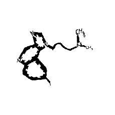 CN(C)CCCn1cnc2cnc3ccc(I)cc3c21